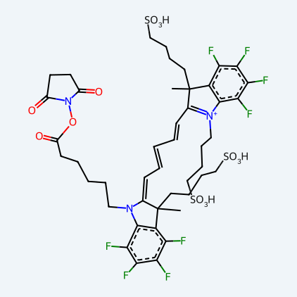 CC1(CCCCS(=O)(=O)O)C(/C=C/C=C/C=C2/N(CCCCCC(=O)ON3C(=O)CCC3=O)c3c(F)c(F)c(F)c(F)c3C2(C)CCCCS(=O)(=O)O)=[N+](CCCCS(=O)(=O)O)c2c(F)c(F)c(F)c(F)c21